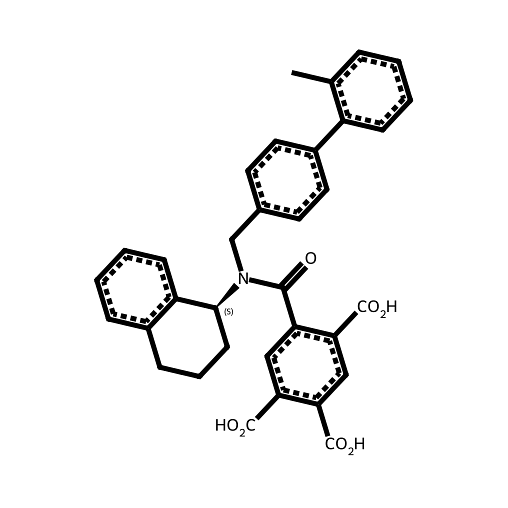 Cc1ccccc1-c1ccc(CN(C(=O)c2cc(C(=O)O)c(C(=O)O)cc2C(=O)O)[C@H]2CCCc3ccccc32)cc1